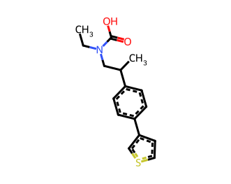 CCN(CC(C)c1ccc(-c2ccsc2)cc1)C(=O)O